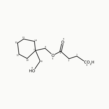 O=C(O)CCC(=O)OCC1(CO)CCCCC1